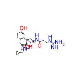 N=C(N)NCCC(=O)N[C@@H]1CC[C@@]2(O)[C@H]3Cc4ccc(O)cc4[C@@]2(CCCN3CC2CC2)C1